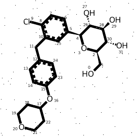 OC[C@H]1O[C@@H](c2ccc(Cl)c(Cc3ccc(OC4CCOCC4)cc3)c2)[C@H](O)[C@@H](O)[C@@H]1O